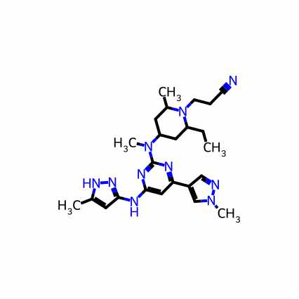 CCC1CC(N(C)c2nc(Nc3cc(C)[nH]n3)cc(-c3cnn(C)c3)n2)CC(C)N1CCC#N